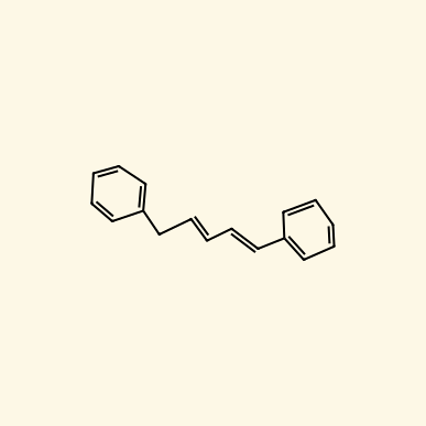 C(/C=C/c1ccccc1)=C\Cc1ccccc1